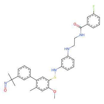 COc1cc(C)c(-c2cccc(C(C)(C)N=O)c2)cc1SNc1cccc(NCCNC(=O)c2cccc(F)c2)c1